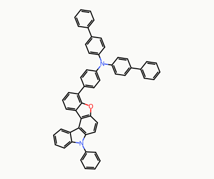 c1ccc(-c2ccc(N(c3ccc(-c4ccccc4)cc3)c3ccc(-c4cccc5c4oc4ccc6c(c7ccccc7n6-c6ccccc6)c45)cc3)cc2)cc1